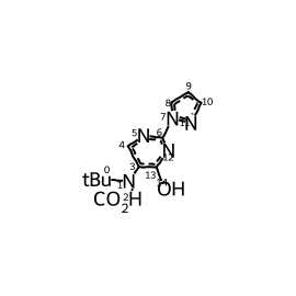 CC(C)(C)N(C(=O)O)c1cnc(-n2cccn2)nc1O